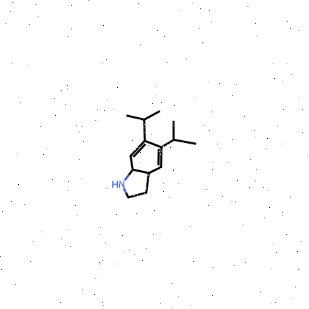 CC(C)C1=CC2CCNC2C=C1C(C)C